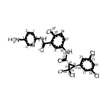 Nc1ccc(NC(=O)c2cc(NC(=O)[C@@H]3[C@@H](c4cc(Cl)cc(Cl)c4)C3(Cl)Cl)ccc2Cl)nc1